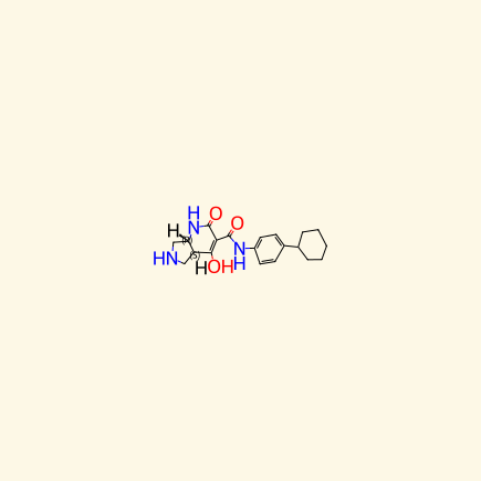 O=C(Nc1ccc(C2CCCCC2)cc1)C1=C(O)[C@H]2CNC[C@@H]2NC1=O